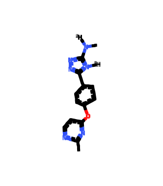 [2H]N(C)c1nnc(-c2ccc(Oc3ccnc(C)n3)cc2)n1[2H]